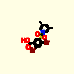 C[C@@H]1C[C@H](C)CN(S(=O)(=O)c2cc(C(=O)O)c(Br)cc2Br)C1